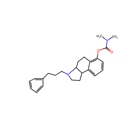 CN(C)C(=O)Oc1cccc2c1CCC1C2CCN1CCCc1ccccc1